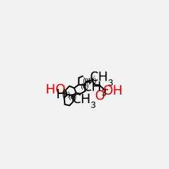 C[C@H](CCC(=O)O)[C@H]1CCC2C3CC(O)[C@H]4CCCC[C@]4(C)C3CC[C@@]21C